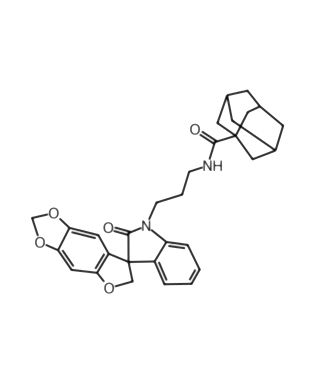 O=C(NCCCN1C(=O)C2(COc3cc4c(cc32)OCO4)c2ccccc21)C12CC3CC(CC(C3)C1)C2